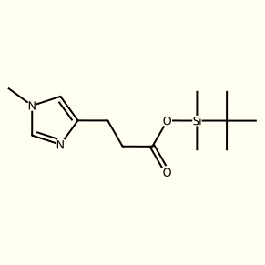 Cn1cnc(CCC(=O)O[Si](C)(C)C(C)(C)C)c1